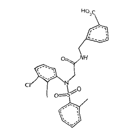 Cc1ccccc1S(=O)(=O)N(CC(=O)NCc1cccc(C(=O)O)c1)c1cccc(Cl)c1C